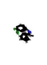 C[C@@H](N[C@H]1CCCC(F)(F)C1)c1ccccc1